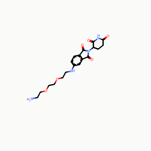 NCCOCCOCCNc1ccc2c(c1)C(=O)N(C1CCC(=O)NC1=O)C2=O